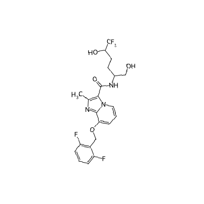 Cc1nc2c(OCc3c(F)cccc3F)cccn2c1C(=O)NC(CO)CCC(O)C(F)(F)F